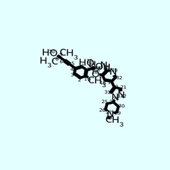 Cc1ccc(C#CC(C)(C)O)cc1C(O)(O)Oc1cc(-c2cnn(C3CCN(C)CC3)c2)cnc1N